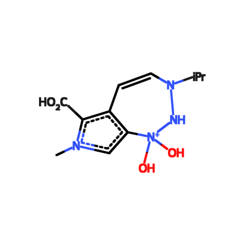 CC(C)N1C=Cc2c(cn(C)c2C(=O)O)[N+](O)(O)N1